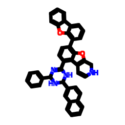 C1=Cc2c(oc3c(-c4cccc5c4oc4ccccc45)ccc(C4=NC(c5ccccc5)NC(c5ccc6ccccc6c5)N4)c23)CN1